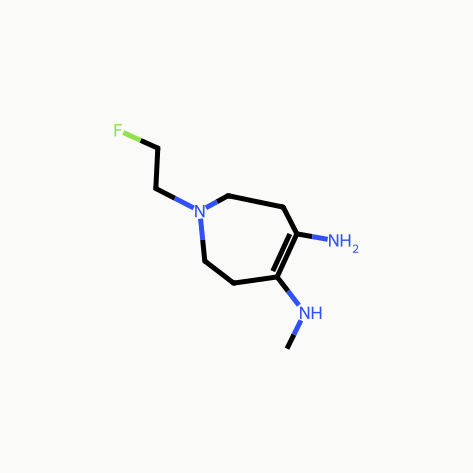 CNC1=C(N)CCN(CCF)CC1